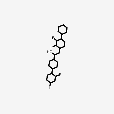 OC(CC1CCC(C2CCCCC2)C(F)C1F)C1CCC(C2CCC(I)CC2F)CC1